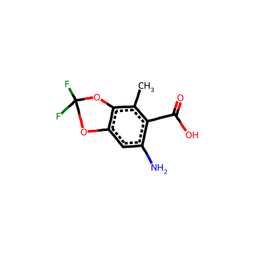 Cc1c2c(cc(N)c1C(=O)O)OC(F)(F)O2